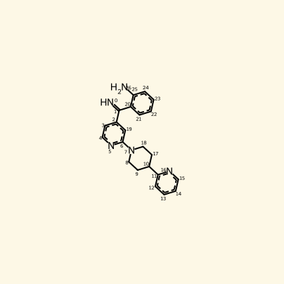 N=C(c1ccnc(N2CCC(c3ccccn3)CC2)c1)c1ccccc1N